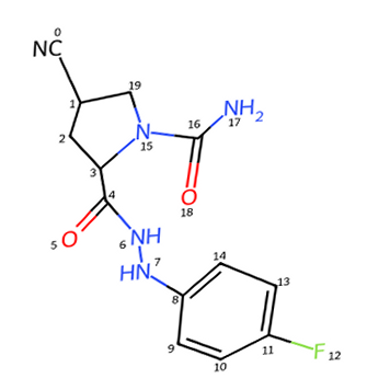 N#CC1CC(C(=O)NNc2ccc(F)cc2)N(C(N)=O)C1